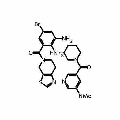 CNc1cncc(C(=O)N2CCC[C@@H](Nc3c(N)cc(Br)cc3C(=O)N3CCc4ncsc4C3)C2)c1